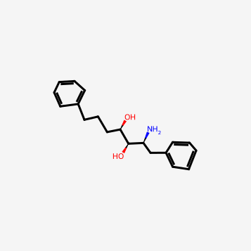 N[C@@H](Cc1ccccc1)[C@@H](O)[C@H](O)CCCc1ccccc1